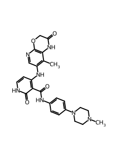 Cc1c(Nc2cc[nH]c(=O)c2C(=O)Nc2ccc(N3CCN(C)CC3)cc2)cnc2c1NC(=O)CO2